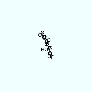 COC(=O)c1ccc(C(=O)N/N=C(\C)c2csc(-c3ccc(C(F)(F)F)cc3)c2O)cc1